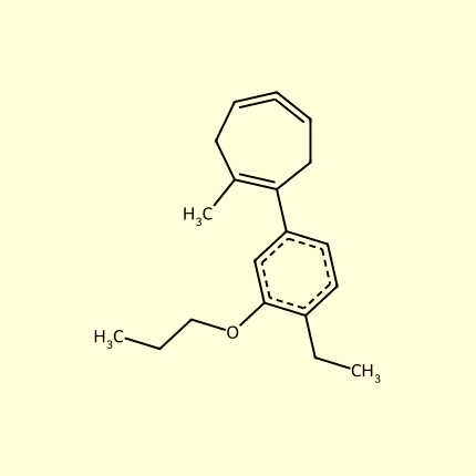 CCCOc1cc(C2=C(C)CC=C=CC2)ccc1CC